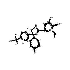 CCn1cc(C2=NC(c3ccc(F)cc3)(c3ccc(C(F)(F)F)nc3)[C@H](C)N2)cc(F)c1=O